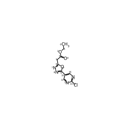 CCOC(=O)Cc1nnc(-c2cnc(Cl)nc2)o1